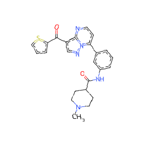 CN1CCC(C(=O)Nc2cccc(-c3ccnc4c(C(=O)c5cccs5)cnn34)c2)CC1